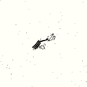 C#[C][Zn].Cl